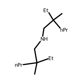 CCCC(C)(CC)CNCC(C)(CC)CCC